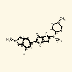 CN1CCC(N(C)c2cc3sc(-c4cc(F)c5nn(C)cc5c4)nc3s2)CC1